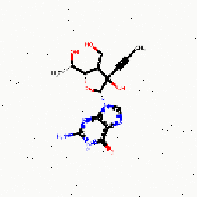 CC#CC1(O)C(CO)[C@@H]([C@H](C)O)O[C@H]1n1cnc2c(=O)[nH]c(N)nc21